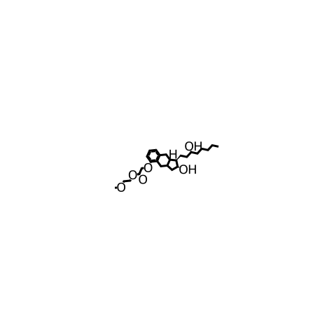 CCCCC[C@H](O)CC[C@H]1[C@H](O)CC2Cc3c(cccc3OCC(=O)OCCOC)C[C@@H]21